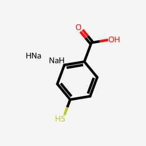 O=C(O)c1ccc(S)cc1.[NaH].[NaH]